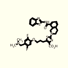 CN(C)Cc1cc(F)c(OCCCc2sc(N3CCc4cccc(C(=O)Nc5nc6ccccc6s5)c4C3)nc2C(=O)O)cc1F